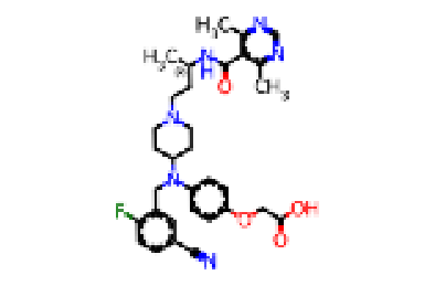 Cc1ncnc(C)c1C(=O)N[C@H](C)CCN1CCC(N(Cc2cc(C#N)ccc2F)c2ccc(OCC(=O)O)cc2)CC1